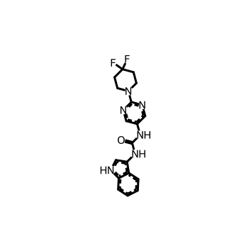 O=C(Nc1cnc(N2CCC(F)(F)CC2)nc1)Nc1c[nH]c2ccccc12